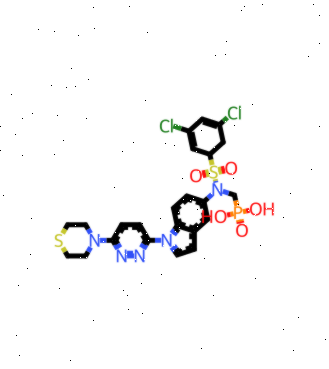 O=P(O)(O)CN(c1ccc2c(ccn2-c2ccc(N3CCSCC3)nn2)c1)S(=O)(=O)C1C=C(Cl)C=C(Cl)C1